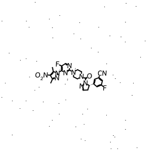 Cc1nn(-c2nc(N3CCN(C(=O)N4N=CC[C@H]4c4cc(F)cc(C#N)c4)CC3)ncc2F)c(C)c1[N+](=O)[O-]